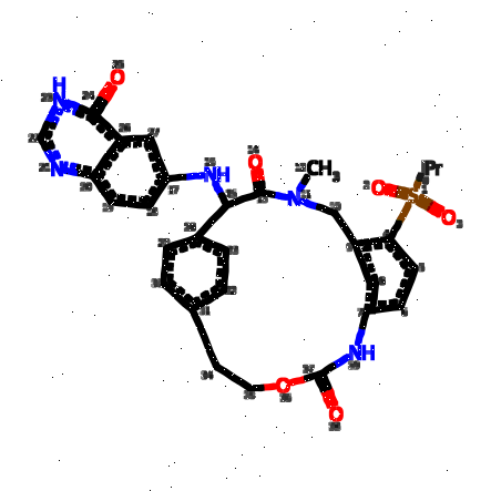 CC(C)S(=O)(=O)c1ccc2cc1CN(C)C(=O)C(Nc1ccc3nc[nH]c(=O)c3c1)c1ccc(cc1)CCOC(=O)N2